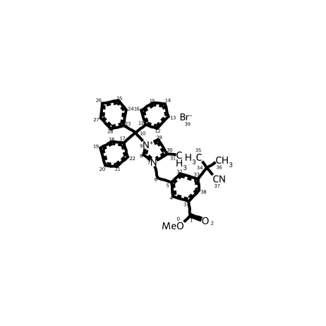 COC(=O)c1cc(Cn2c[n+](C(c3ccccc3)(c3ccccc3)c3ccccc3)cc2C)cc(C(C)(C)C#N)c1.[Br-]